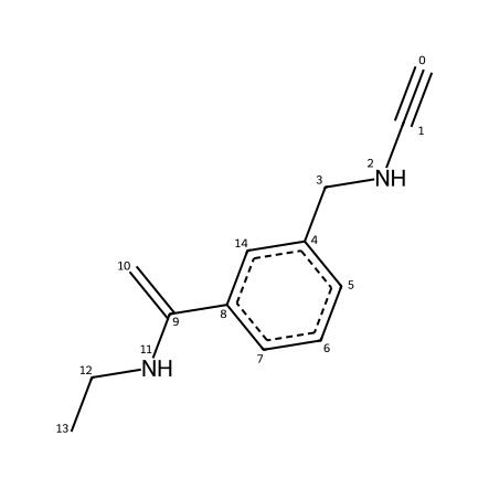 C#CNCc1cccc(C(=C)NCC)c1